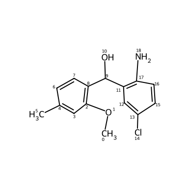 COc1cc(C)ccc1C(O)c1cc(Cl)ccc1N